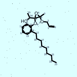 C=CCOC1(C)OC1(Oc1ccccc1CCCCCCCCC)C(C)O